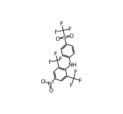 O=[N+]([O-])c1cc(C(F)(F)F)c(Nc2ccc(S(=O)(=O)C(F)(F)F)cc2)c(C(F)(F)F)c1